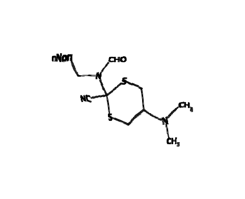 CCCCCCCCCCN(C=O)C1(C#N)SCC(N(C)C)CS1